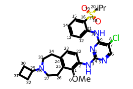 COc1c(Nc2ncc(Cl)c(Nc3ccccc3S(=O)(=O)C(C)C)n2)ccc2c1CCN(C1CCC1)CC2